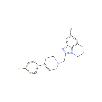 Fc1ccc(C2=CCN(Cc3nc4cc(Cl)cc5c4n3CCC5)CC2)cc1